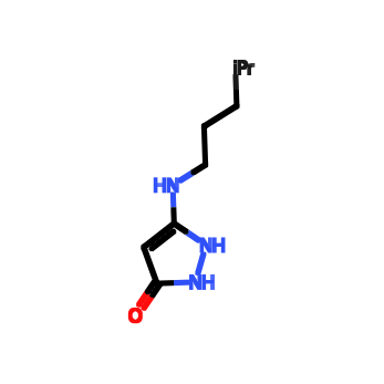 CC(C)CCCNc1cc(=O)[nH][nH]1